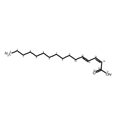 CCCCCCCCCCC/C=C/C=C\C(=O)O